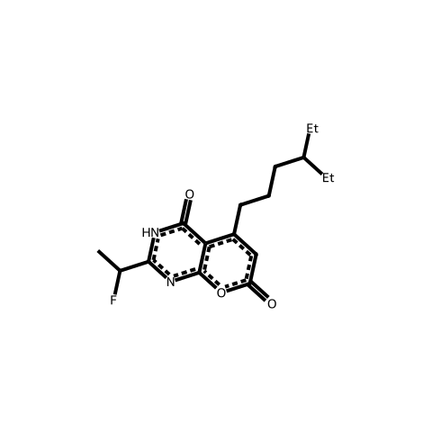 CCC(CC)CCCc1cc(=O)oc2nc(C(C)F)[nH]c(=O)c12